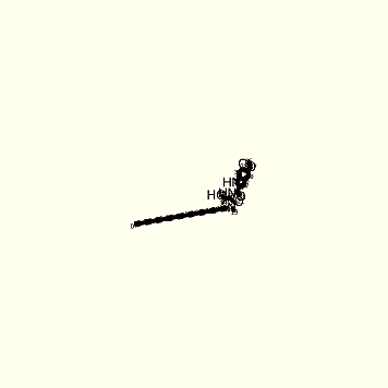 C#CC#CC#CC#CC#CC#CC#CC#CC#CN(C)C(=O)[C@@H](NC(=O)c1cc2cc3c(cc2[nH]1)OCO3)[C@@H](C)O